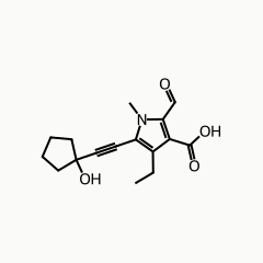 CCc1c(C(=O)O)c(C=O)n(C)c1C#CC1(O)CCCC1